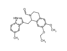 CCOc1cc2c(cc1OC)CCN(C=O)C2Cc1c[nH]c2ccc(C)cc12